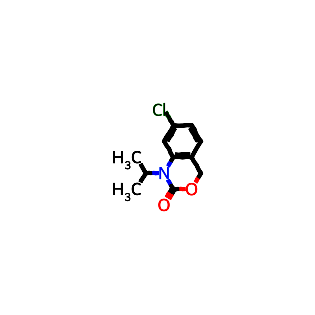 CC(C)N1C(=O)OCc2ccc(Cl)cc21